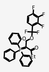 CCC(=O)C(C(=O)OC(F)(F)c1ccc(F)c(F)c1F)=P(c1ccccc1)(c1ccccc1)c1ccccc1